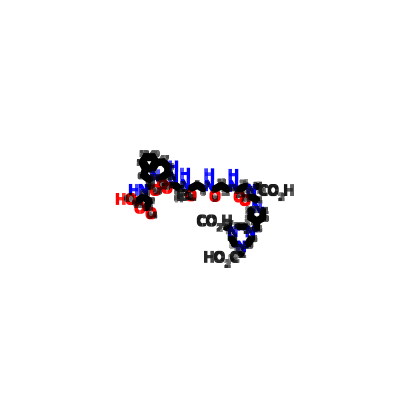 CC[C@H](C)[C@H](NC(=O)CCNC(=O)CCNC(=O)CN(CC(=O)O)C(=O)CN1CCC(CN2CCN(CC(=O)O)CCN(CC(=O)O)CC2)CC1)C(=O)N[C@H]1CCc2cccc3c2N(C1=O)[C@H](C(=O)NC1CC(=O)OC1O)C3